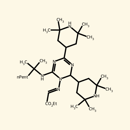 CCCCCC(C)(C)NC1=NC(C2CC(C)(C)NC(C)(C)C2)=NC(C2CC(C)(C)NC(C)(C)C2)N1N=CC(=O)OCC